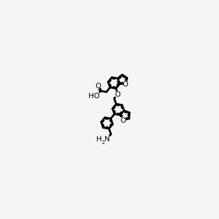 NCc1cccc(-c2cc(COc3c(CC(=O)O)ccc4ccoc34)cc3ccoc23)c1